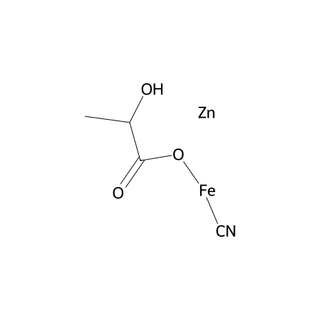 CC(O)C(=O)[O][Fe][C]#N.[Zn]